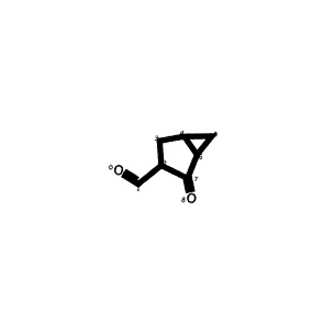 O=CC1CC2CC2C1=O